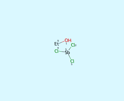 CCO.[Cl][Sb]([Cl])[Cl]